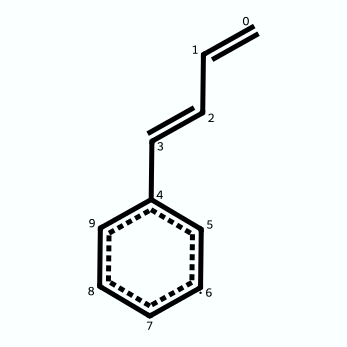 C=C/C=C/c1c[c]ccc1